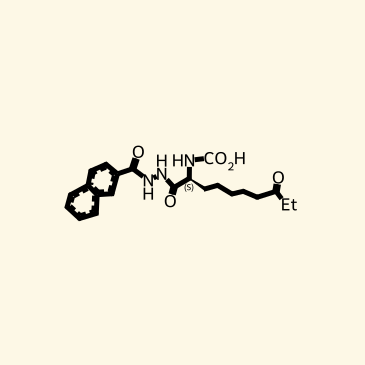 CCC(=O)CCCCC[C@H](NC(=O)O)C(=O)NNC(=O)c1ccc2ccccc2c1